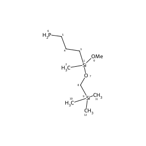 CO[Si](C)(CCCP)OC[Si](C)(C)C